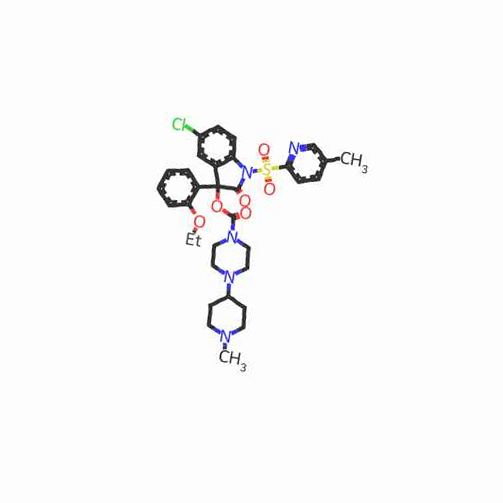 CCOc1ccccc1C1(OC(=O)N2CCN(C3CCN(C)CC3)CC2)C(=O)N(S(=O)(=O)c2ccc(C)cn2)c2ccc(Cl)cc21